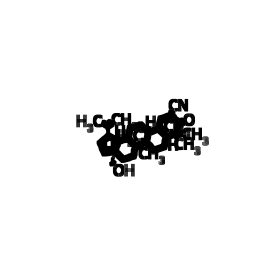 C=C(C)[C@@H]1CC[C@]2(CO)CC[C@]3(C)[C@H](CC[C@@H]4[C@@]5(C)C=C(C#N)C(=O)C(C)(C)[C@@H]5CC[C@]43C)[C@@H]12